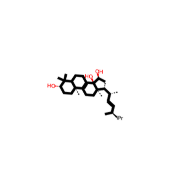 CC(C)[C@@H](C)/C=C/[C@@H](C)[C@H]1C[C@H](O)[C@@]2(O)C3=C(CC[C@]12C)[C@@]1(C)CC[C@H](O)C(C)(C)C1CC3